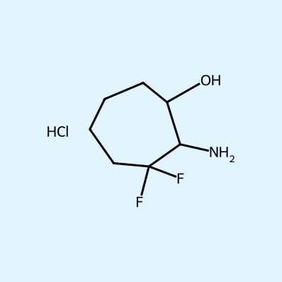 Cl.NC1C(O)CCCCC1(F)F